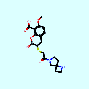 COc1ccc2c(c1C(=O)O)OB(O)C(SCC(=O)N1CCC3(CCN3)C1)C2